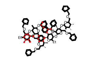 C=CCO[C@H]1OC(CO[C@@H]2OC(COCc3ccccc3)[C@@H](C)[C@H](C)C2O[C@@H]2OC(CC)[C@@H](O[C@@H]3OC(COCc4ccccc4)[C@H](O[C@H]4OC(COCc5ccccc5)[C@H](C)[C@H](C)C4C)[C@H](C)C3OCc3ccccc3)[C@H](OCc3ccccc3)C2OCc2ccccc2)[C@@H](O[C@@H]2OC(COCc3ccccc3)[C@@H](C)[C@H](C)C2C)[C@H](O[C@@H]2OC(CC)[C@@H](C)[C@H](C)C2OCc2ccccc2)C1C